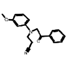 COc1cccc(N(CCC#N)CC(=O)c2ccccc2)c1